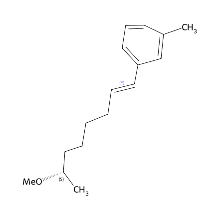 CO[C@@H](C)CCCC/C=C/c1cccc(C)c1